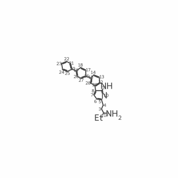 CCC(N)CCc1ccc2c(n1)[nH]c1ccc(-c3ccc(-c4ccccc4)cc3)cc12